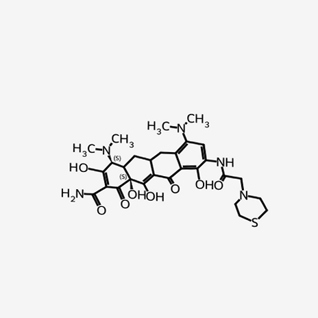 CN(C)c1cc(NC(=O)CN2CCSCC2)c(O)c2c1CC1CC3[C@H](N(C)C)C(O)=C(C(N)=O)C(=O)[C@@]3(O)C(O)=C1C2=O